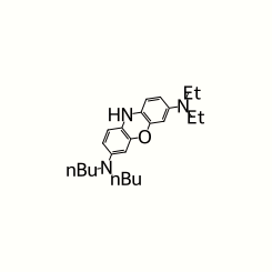 CCCCN(CCCC)c1ccc2c(c1)Oc1cc(N(CC)CC)ccc1N2